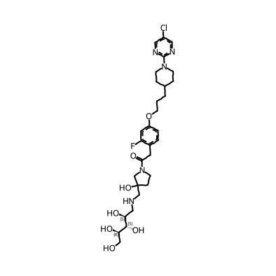 O=C(Cc1ccc(OCCCC2CCN(c3ncc(Cl)cn3)CC2)cc1F)N1CCC(O)(CNC[C@H](O)[C@H](O)[C@H](O)CO)C1